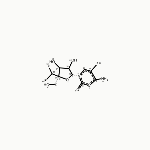 Nc1nc(=O)n([C@@H]2O[C@@](CO)(C(F)F)C(O)C2O)cc1F